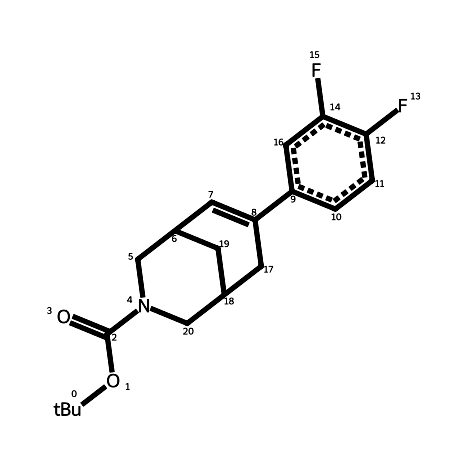 CC(C)(C)OC(=O)N1CC2C=C(c3ccc(F)c(F)c3)CC(C2)C1